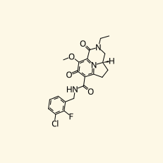 CCN1C[C@@H]2CCc3c(C(=O)NCc4cccc(Cl)c4F)c(=O)c(OC)c(n32)C1=O